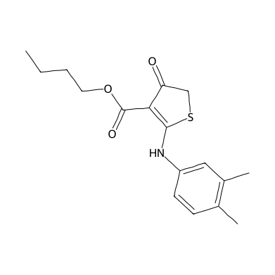 CCCCOC(=O)C1=C(Nc2ccc(C)c(C)c2)SCC1=O